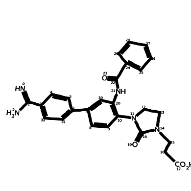 N=C(N)c1ccc(-c2ccc(N3CCN(CCC(=O)O)C3=O)c(NC(=O)c3ccccc3)c2)cc1